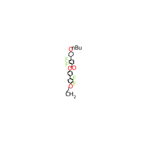 C=CCCOc1ccc(-c2ccc(OC(=O)c3ccc(C4CCC(OCCCC)CC4)c(F)c3F)cc2)c(F)c1F